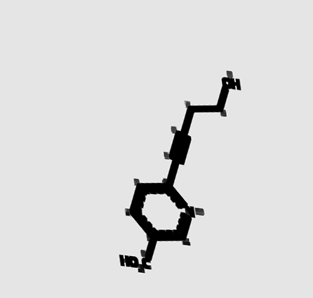 O=C(O)c1ccc(C#CCCO)nc1